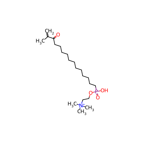 C=C(C)C(=O)CCCCCCCCCCCCP(=O)(O)OCC[N+](C)(C)C